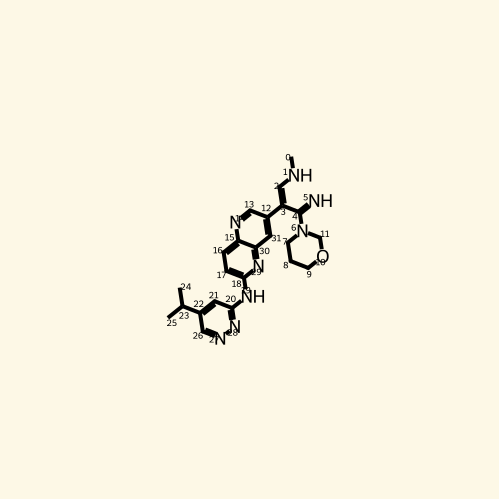 CN/C=C(\C(=N)N1CCCOC1)c1cnc2ccc(Nc3cc(C(C)C)cnn3)nc2c1